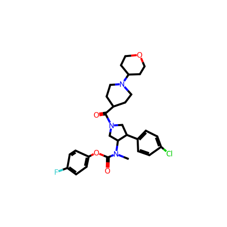 CN(C(=O)Oc1ccc(F)cc1)C1CN(C(=O)C2CCN(C3CCOCC3)CC2)CC1c1ccc(Cl)cc1